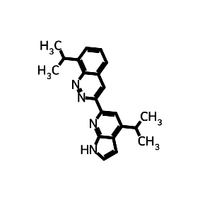 CC(C)c1cc(-c2cc3cccc(C(C)C)c3nn2)nc2[nH]ccc12